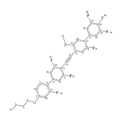 CCCCCc1ccc(-c2cc(F)c(C#Cc3cc(F)c(-c4cc(F)c(F)c(F)c4)cc3CC)c(F)c2)c(F)c1